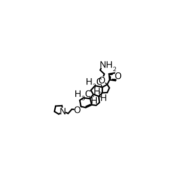 C[C@]12CC[C@H](OCCN3CCCC3)C=C1CC[C@@H]1[C@@H]2CC[C@@]2(C)[C@H]1CC[C@@]2(OCCN)c1ccoc1